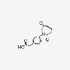 O=C(O)Cc1ccc(N2CC(=O)C=CCC2=O)cc1